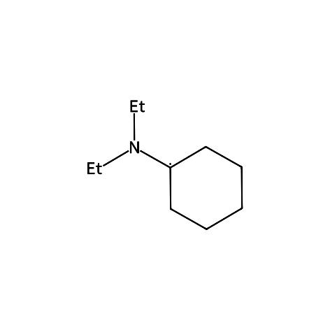 CCN(CC)[C]1CCCCC1